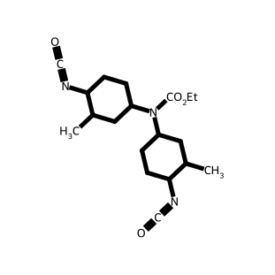 CCOC(=O)N(C1CCC(N=C=O)C(C)C1)C1CCC(N=C=O)C(C)C1